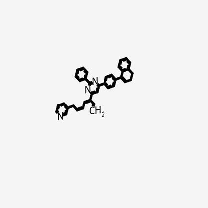 C=C/C(=C\C=C/Cc1cccnc1)c1cc(-c2ccc(C3=CCCc4ccccc43)cc2)nc(-c2ccccc2)n1